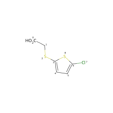 O=C(O)CSc1ccc(Cl)s1